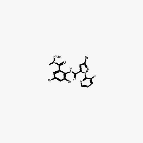 CNN(C)C(=O)c1cc(Br)cc(Br)c1NC(=O)c1cc(Br)nn1-c1ncccc1Cl